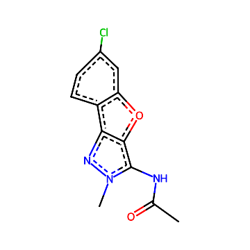 CC(=O)Nc1c2oc3cc(Cl)ccc3c2nn1C